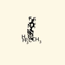 C[Si](C)(C)Cn1cc(-c2ccc(C(F)F)cn2)nn1